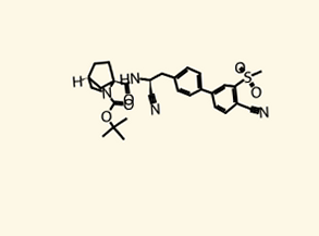 CC(C)(C)OC(=O)N1C[C@H]2CC[C@@]1(C(=O)N[C@H](C#N)Cc1ccc(-c3ccc(C#N)c(S(C)(=O)=O)c3)cc1)C2